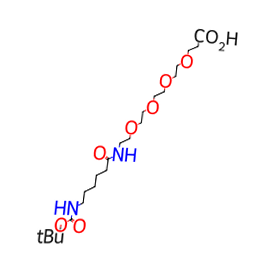 CC(C)(C)OC(=O)NCCCCCC(=O)NCCOCCOCCOCCOCCC(=O)O